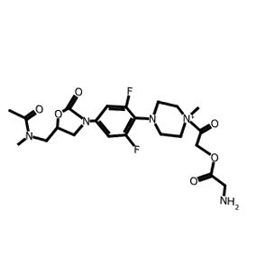 CC(=O)N(C)CC1CN(c2cc(F)c(N3CC[N+](C)(C(=O)COC(=O)CN)CC3)c(F)c2)C(=O)O1